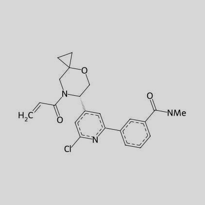 C=CC(=O)N1CC2(CC2)OC[C@@H]1c1cc(Cl)nc(-c2cccc(C(=O)NC)c2)c1